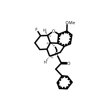 COc1ccc2c3c1O[C@@H]1C(F)CCC4[C@H](C2)N(C(=O)Cc2ccccc2)CC[C@]341